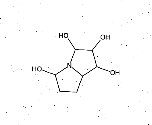 OC1C(O)C2CCC(O)N2C1O